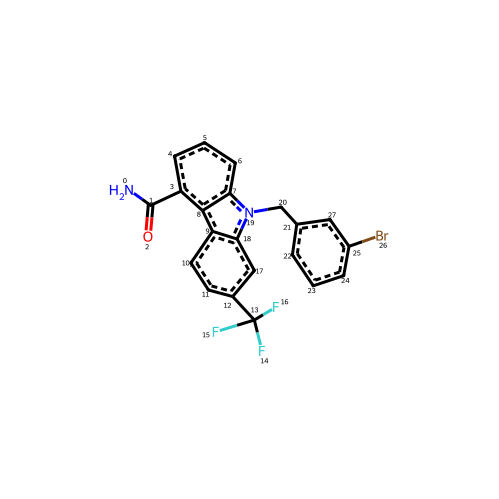 NC(=O)c1cccc2c1c1[c]cc(C(F)(F)F)cc1n2Cc1cccc(Br)c1